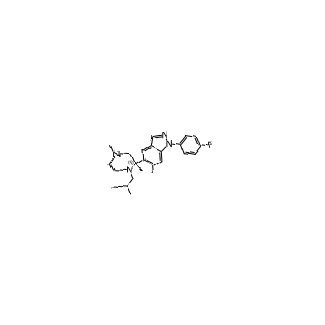 Cc1cc2c(cnn2-c2ccc(F)cc2)cc1[C@@]1(C)CN(C)CCN1CC(C)C